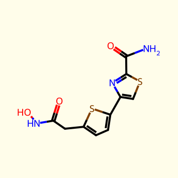 NC(=O)c1nc(-c2ccc(CC(=O)NO)s2)cs1